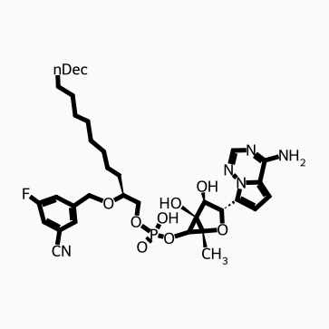 CCCCCCCCCCCCCCCCCC[C@@H](COP(=O)(O)OC1[C@@]2(C)O[C@@H](c3ccc4c(N)ncnn34)[C@H](O)[C@@]12O)OCc1cc(F)cc(C#N)c1